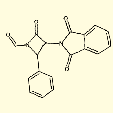 O=CN1C(=O)C(N2C(=O)c3ccccc3C2=O)C1c1ccccc1